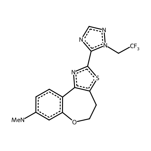 CNc1ccc2c(c1)OCCc1sc(-c3ncnn3CC(F)(F)F)nc1-2